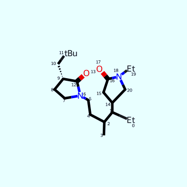 CCC(C(C)CCN1CC[C@H](CC(C)(C)C)C1=O)C1CC(=O)N(CC)C1